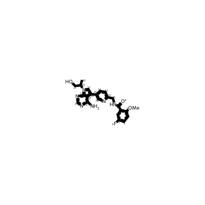 COc1ccc(F)cc1C(=O)NCc1ccc(-c2cn(C(C)CO)c3ncnc(N)c23)cn1